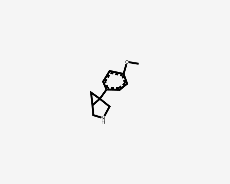 COc1ccc(C23CNCC2C3)cc1